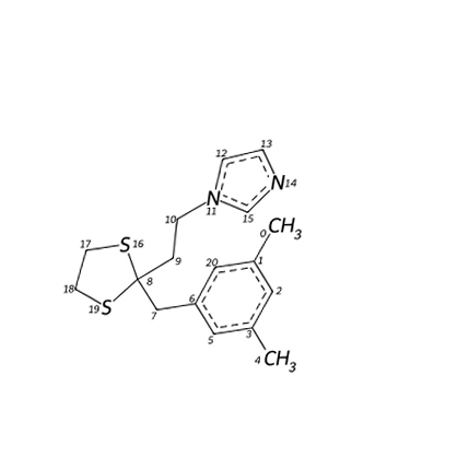 Cc1cc(C)cc(CC2(CCn3ccnc3)SCCS2)c1